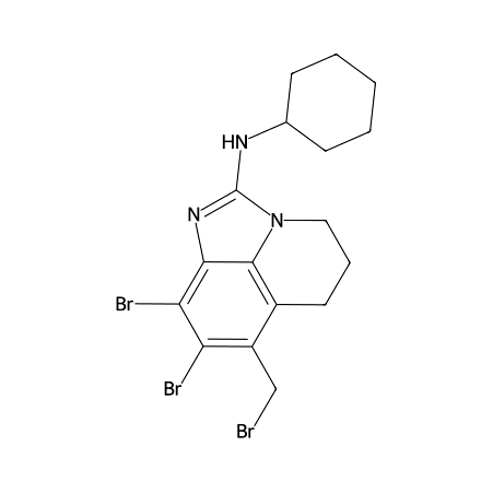 BrCc1c(Br)c(Br)c2nc(NC3CCCCC3)n3c2c1CCC3